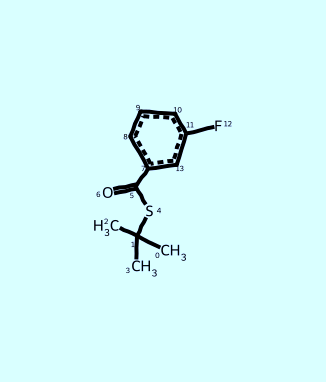 CC(C)(C)SC(=O)c1cccc(F)c1